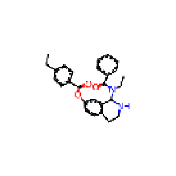 CCc1ccc(C(=O)Oc2ccc3c(c2)C(N(CC)C(=O)c2ccccc2)NCC3)cc1